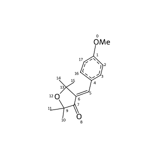 COc1ccc(/C=C2/C(=O)C(C)(C)OC2(C)C)cc1